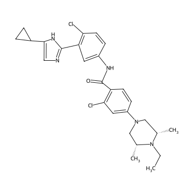 CCN1[C@H](C)CN(c2ccc(C(=O)Nc3ccc(Cl)c(-c4ncc(C5CC5)[nH]4)c3)c(Cl)c2)C[C@@H]1C